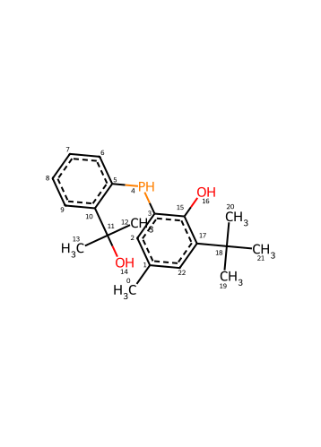 Cc1cc(Pc2ccccc2C(C)(C)O)c(O)c(C(C)(C)C)c1